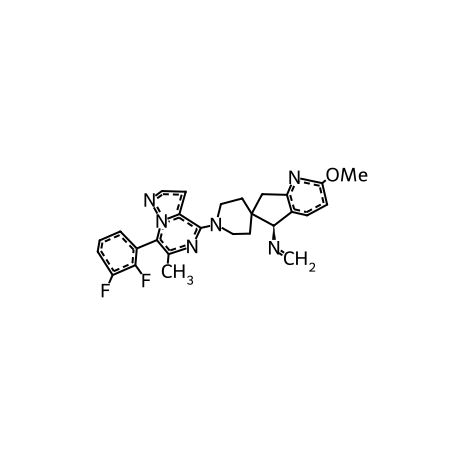 C=N[C@@H]1c2ccc(OC)nc2CC12CCN(c1nc(C)c(-c3cccc(F)c3F)n3nccc13)CC2